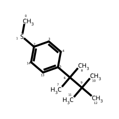 CSc1ccc(C(C)(C)C(C)(C)C)cc1